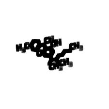 CCCCCC(CC)C(CC)c1cc(O)c2c(c1)OC1=C(CCC(C)C1)C2C